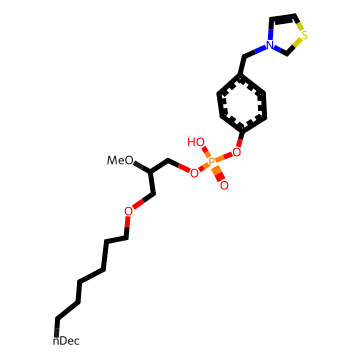 CCCCCCCCCCCCCCCCOCC(COP(=O)(O)Oc1ccc(CN2C=CSC2)cc1)OC